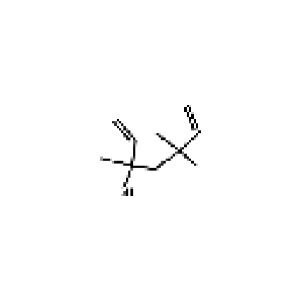 C=CC(C)(C)CC(C)(S)C=C